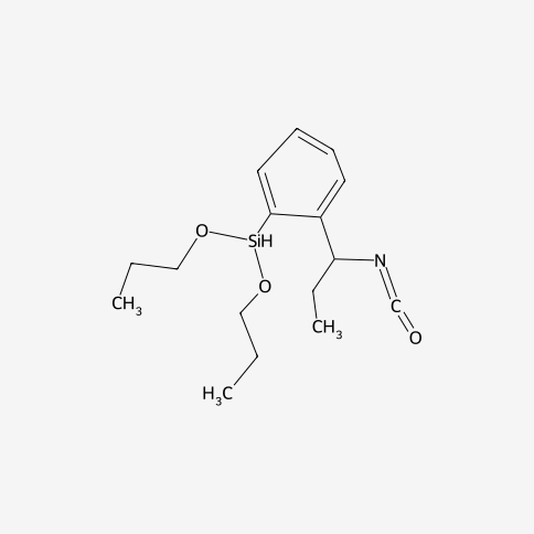 CCCO[SiH](OCCC)c1ccccc1C(CC)N=C=O